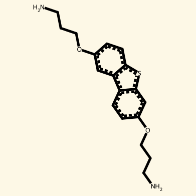 NCCCOc1ccc2c(c1)sc1ccc(OCCCN)cc12